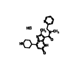 Cc1nn2c(C3CCNCC3)cc(=O)[nH]c2c1C(=O)N(C)Cc1ccccn1.Cl